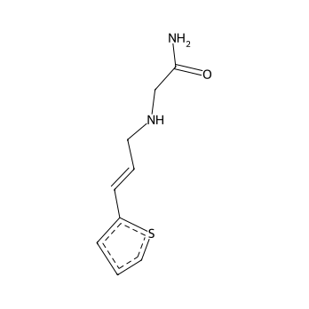 NC(=O)CNCC=Cc1cccs1